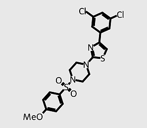 COc1ccc(S(=O)(=O)N2CCN(c3nc(-c4cc(Cl)cc(Cl)c4)cs3)CC2)cc1